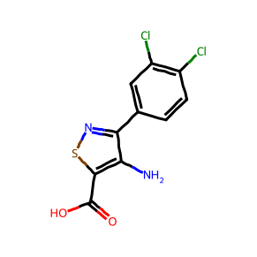 Nc1c(-c2ccc(Cl)c(Cl)c2)nsc1C(=O)O